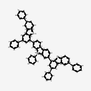 c1ccc(-c2ccc3sc4c(-c5ccc6c7ccc(-c8cc(-c9ccccc9)cc9c8sc8ccc(-c%10ccccc%10)cc89)cc7n(-c7ccccc7)c6c5)cc(-c5ccccc5)cc4c3c2)cc1